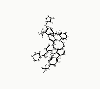 C=C1C2C(CCc3ccc4c(oc5nc(CC(C)(C)C)ccc54)c3-c3cc(C(C)C4CCCCC4)cc[n+]31)c1ccccc1-c1cc(CC3CCCC3)c([Si](C)(C)C)c[n+]12